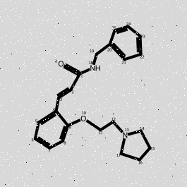 O=C(C=Cc1ccccc1OCCN1CCCC1)NCc1ccccc1